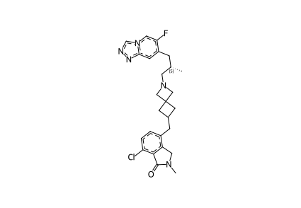 C[C@@H](Cc1cc2nncn2cc1F)CN1CC2(CC(Cc3ccc(Cl)c4c3CN(C)C4=O)C2)C1